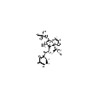 COC(=O)C1([C@H](N)CCc2ccccc2)OC=CN1C(=O)OC(C)(C)C